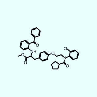 COC(=O)C(Cc1ccc(OCCN(C(=O)C2CCCC2)c2ccccc2Cl)cc1)Nc1ccccc1C(=O)c1ccccc1